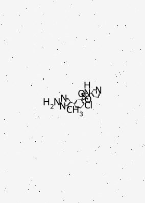 Cc1nc(N)ncc1-c1ccc(Cl)c(S(=O)(=O)Nc2cccnc2)c1